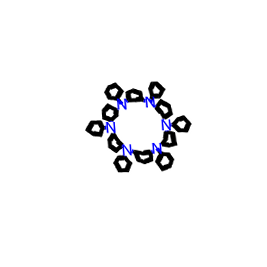 c1ccc(-n2c3cccc(c3)n(-c3ccccc3)c3cccc(c3)n(-c3ccccc3)c3cccc(c3)n(-c3ccccc3)c3cccc(c3)n(-c3ccccc3)c3cccc(c3)n(-c3ccccc3)c3cccc2c3)cc1